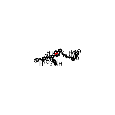 O=C1CCC(N2Cc3c(NCCCN4CC(COc5cccc(-c6ccc(Cl)cc6)c5CN5CCN(c6ccc(C(=O)NS(=O)(=O)c7ccc(NCC8CCOCC8)c([N+](=O)[O-])c7)c(Oc7cnc8[nH]ccc8c7)c6)CC5)C4)cccc3C2=O)C(=O)N1